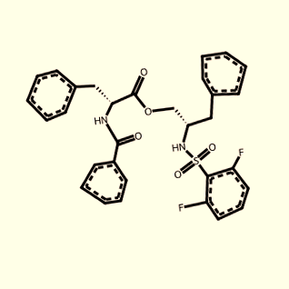 O=C(N[C@H](Cc1ccccc1)C(=O)OC[C@H](Cc1ccccc1)NS(=O)(=O)c1c(F)cccc1F)c1ccccc1